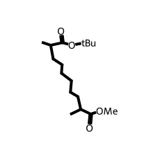 COC(=O)C(C)CCCCCCC(C)C(=O)OC(C)(C)C